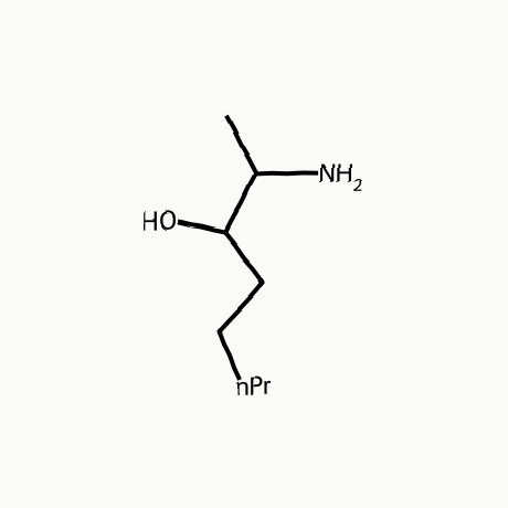 CCCCCC(O)C(C)N